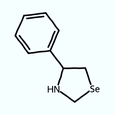 c1ccc(C2C[Se]CN2)cc1